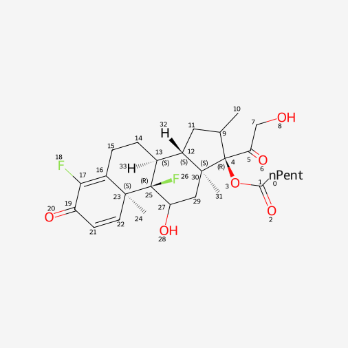 CCCCCC(=O)O[C@]1(C(=O)CO)C(C)C[C@H]2[C@@H]3CCC4=C(F)C(=O)C=C[C@]4(C)[C@@]3(F)C(O)C[C@@]21C